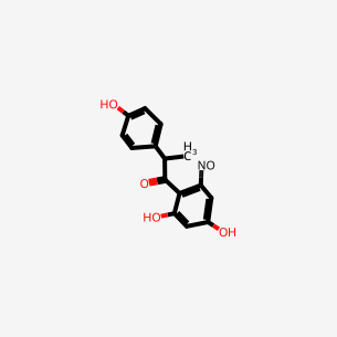 CC(C(=O)c1c(O)cc(O)cc1N=O)c1ccc(O)cc1